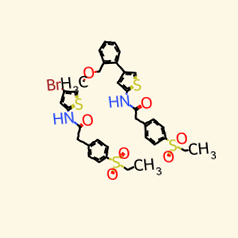 CCS(=O)(=O)c1ccc(CC(=O)Nc2cc(-c3ccccc3COC)cs2)cc1.CCS(=O)(=O)c1ccc(CC(=O)Nc2cc(Br)cs2)cc1